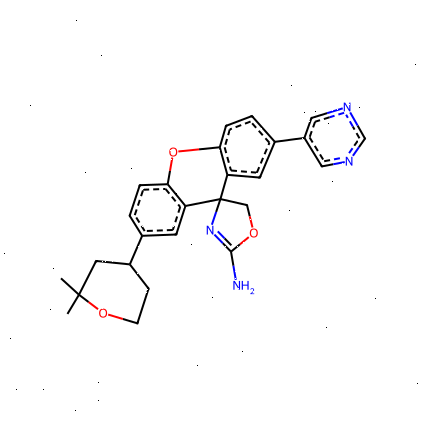 CC1(C)CC(c2ccc3c(c2)C2(COC(N)=N2)c2cc(-c4cncnc4)ccc2O3)CCO1